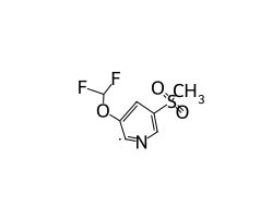 CS(=O)(=O)c1cn[c]c(OC(F)F)c1